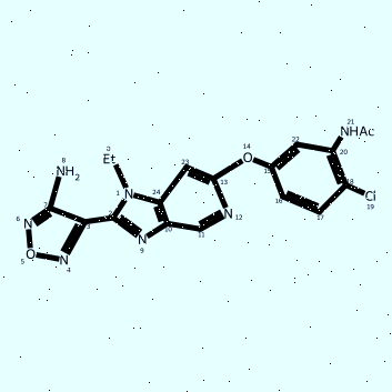 CCn1c(-c2nonc2N)nc2cnc(Oc3ccc(Cl)c(NC(C)=O)c3)cc21